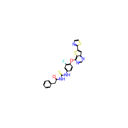 O=C(Cc1ccccc1)NC(=S)Nc1ccc(Oc2ncnc3cc(-c4nccs4)sc23)c(F)c1